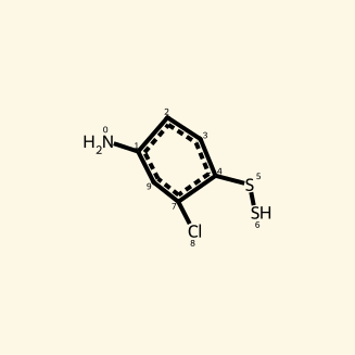 Nc1ccc(SS)c(Cl)c1